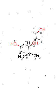 CC(C)CO.CC(C)O.CCO